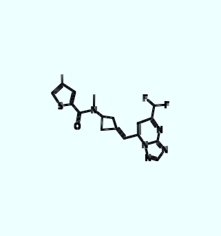 Cc1csc(C(=O)N(C)C2CC(=Cc3cc(C(F)F)nc4ncnn34)C2)c1